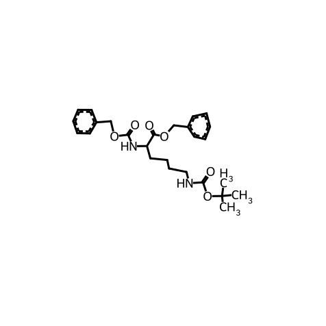 CC(C)(C)OC(=O)NCCCCC(NC(=O)OCc1ccccc1)C(=O)OCc1ccccc1